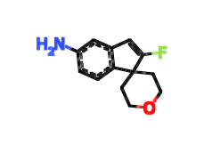 Nc1ccc2c(c1)C=C(F)C21CCOCC1